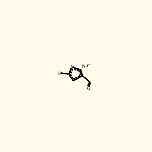 O=Cc1csc([O-])c1.[Na+]